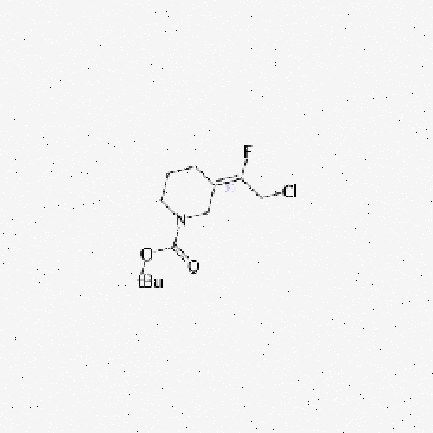 CC(C)(C)OC(=O)N1CCC/C(=C(\F)CCl)C1